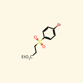 CCOC(=O)CCS(=O)(=O)c1ccc(Br)cc1